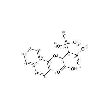 O=C(O)C(Oc1cccc2ccccc12)C(C(=O)O)P(=O)(O)O